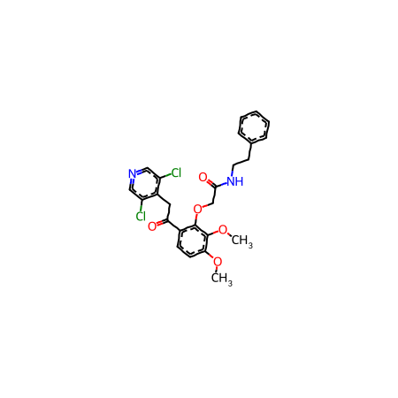 COc1ccc(C(=O)Cc2c(Cl)cncc2Cl)c(OCC(=O)NCCc2ccccc2)c1OC